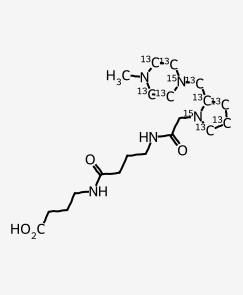 CN1[13CH2][13CH2][15N]([13CH2][13CH]2[13CH2][13CH2][13CH2][15N]2CC(=O)NCCCC(=O)NCCCC(=O)O)[13CH2][13CH2]1